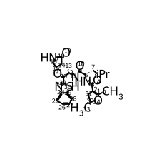 CC1=C(C(=O)N[C@@H](CC(C)C)C(=O)N[C@@H](C[C@@H]2CCNC2=O)C(=O)c2nc3ccccc3s2)CC(C)O1